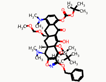 COCOC[C@@]12Cc3c(N(C)C)ccc(OC(=O)OC(C)(C)C)c3C(=O)C1=C(O)[C@]1(O[Si](C)(C)C(C)(C)C)C(=O)c3c(OCc4ccccc4)noc3[C@@H](N(C)C)[C@@H]1C2